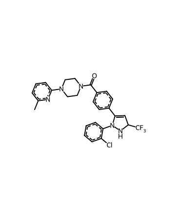 Cc1cccc(N2CCN(C(=O)c3ccc(C4=CC(C(F)(F)F)NN4c4ccccc4Cl)cc3)CC2)n1